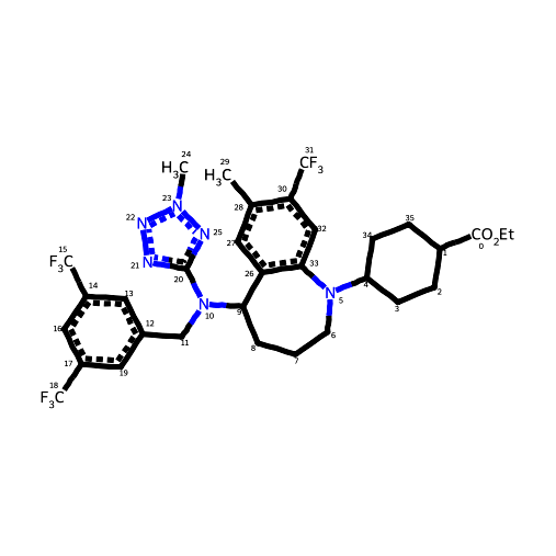 CCOC(=O)C1CCC(N2CCCC(N(Cc3cc(C(F)(F)F)cc(C(F)(F)F)c3)c3nnn(C)n3)c3cc(C)c(C(F)(F)F)cc32)CC1